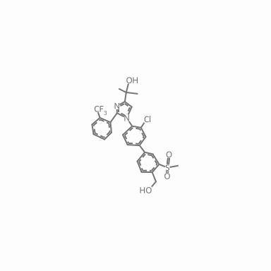 CC(C)(O)c1cn(-c2ccc(-c3ccc(CO)c(S(C)(=O)=O)c3)cc2Cl)c(-c2ccccc2C(F)(F)F)n1